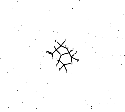 C=C(F)C(F)(N1C(F)(F)C(F)(F)OC(F)(F)C1(F)F)C(F)(F)F